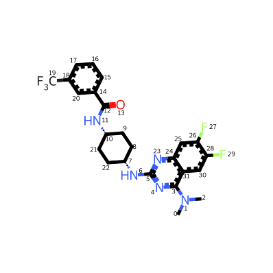 CN(C)c1nc(N[C@H]2CC[C@@H](NC(=O)c3cccc(C(F)(F)F)c3)CC2)nc2cc(F)c(F)cc12